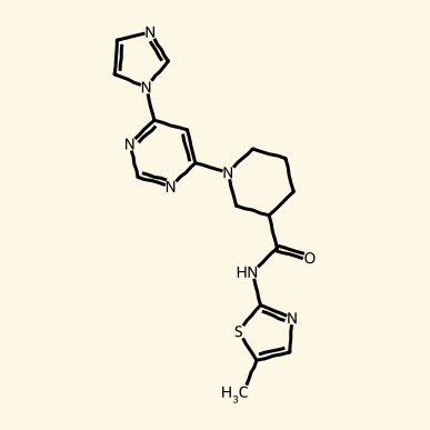 Cc1cnc(NC(=O)C2CCCN(c3cc(-n4ccnc4)ncn3)C2)s1